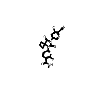 C=C(/C=C\C(C(=O)NC)=C(/C)F)N1C(=S)N(c2cnc(C#N)c(Cl)c2)C(=O)C12CCC2